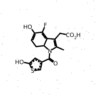 CC1=C(CC(=O)O)C2=C(F)C(O)=CCC2N1C(=O)c1csc(O)c1